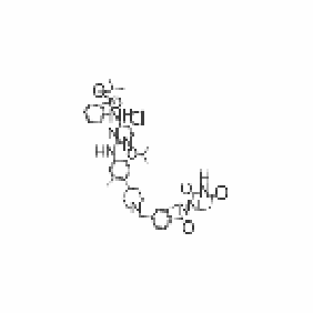 Cc1cc(Nc2ncc(Cl)c(Nc3ccccc3S(=O)(=O)C(C)C)n2)c(OC(C)C)cc1C1CCN(Cc2ccc3c(c2)CN(N2CCC(=O)NC2=O)C3=O)CC1